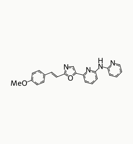 COc1ccc(C=Cc2ncc(-c3cccc(Nc4ccccn4)n3)o2)cc1